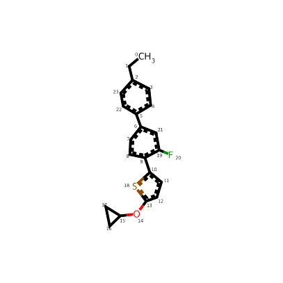 CCc1ccc(-c2ccc(-c3ccc(OC4CC4)s3)c(F)c2)cc1